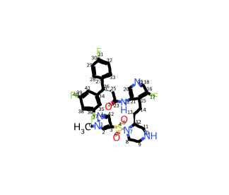 Cn1cc(S(=O)(=O)N2CCNC[C@@H]2CCc2c(F)cncc2NC(=O)C[C@@H](c2ccc(F)cc2)c2cc(F)cc(F)c2)cn1